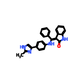 Cc1nc(-c2ccc(N/C(=C3\C(=O)Nc4ccccc43)c3ccccc3)cc2)c[nH]1